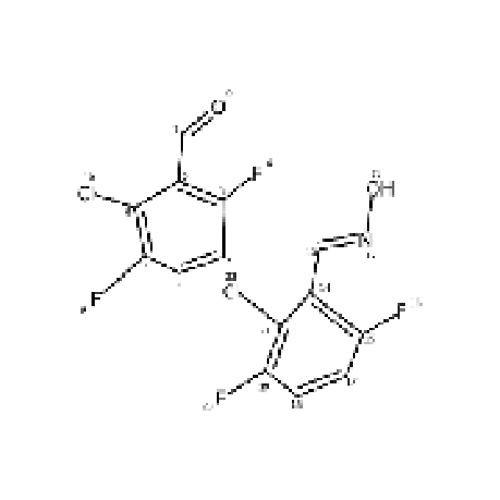 O=Cc1c(F)ccc(F)c1Cl.ON=Cc1c(F)ccc(F)c1Cl